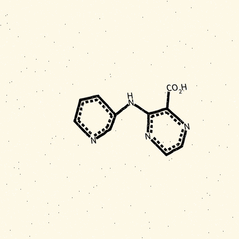 O=C(O)c1nccnc1Nc1cccnc1